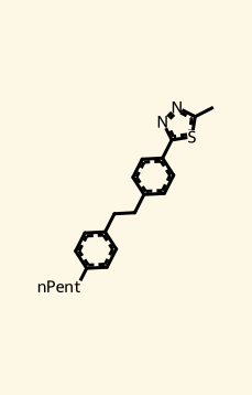 CCCCCc1ccc(CCc2ccc(-c3nnc(C)s3)cc2)cc1